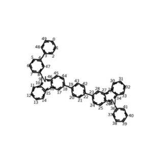 c1ccc(-c2cccc(-n3c4ccccc4c4cc(-c5ccc(-c6ccc7c(c6)c6ccccc6n7-c6ccccc6)cc5)ccc43)c2)cc1